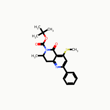 CSc1cc(-c2ccccc2)nc2c1C(=O)N(C(=O)OC(C)(C)C)C(C)C2